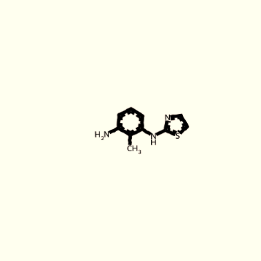 Cc1c(N)cccc1Nc1nccs1